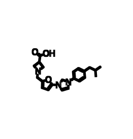 CC(C)Cc1ccc(N2C=CN(c3ccc(CN4CC(C(=O)O)C4)o3)C2)cc1